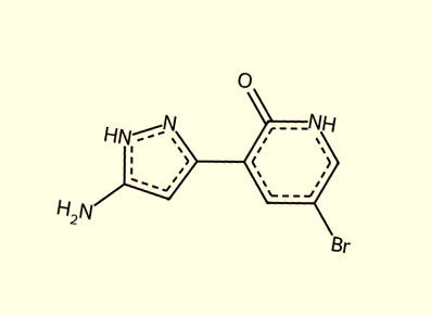 Nc1cc(-c2cc(Br)c[nH]c2=O)n[nH]1